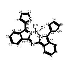 F[N+]1(F)n2c(c3ccccc3c2-c2cccs2)N=C2c3ccccc3C(c3cccs3)=[N+]21